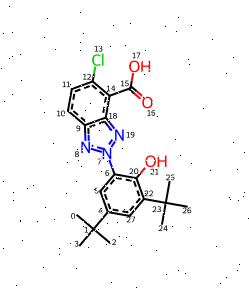 CC(C)(C)c1cc(-n2nc3ccc(Cl)c(C(=O)O)c3n2)c(O)c(C(C)(C)C)c1